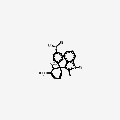 CCN(CC)c1ccc(C2(c3c(C)n(CC)c4ccccc34)C=CC=C(C(=O)O)C2C(=O)O)cc1